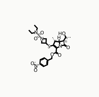 CCN(CC)S(=O)(=O)N1CC(SC2=C(C(=O)OCc3ccc([N+](=O)[O-])cc3)N3C(=O)[C@H]([C@@H](C)O)[C@H]3[C@H]2C)C1